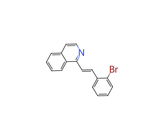 Brc1ccccc1C=Cc1nccc2ccccc12